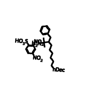 CCCCCCCCCCCCCCCCC(Cc1ccccc1)C(C)(C)N.O=[N+]([O-])c1ccc(S(=O)(=O)O)c([N+](=O)[O-])c1